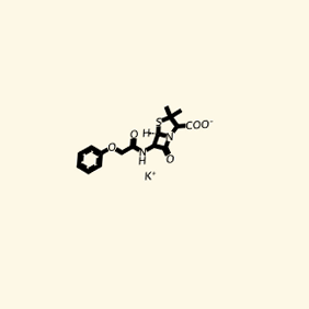 CC1(C)S[C@@H]2C(NC(=O)COc3ccccc3)C(=O)N2C1C(=O)[O-].[K+]